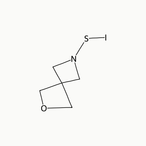 ISN1CC2(COC2)C1